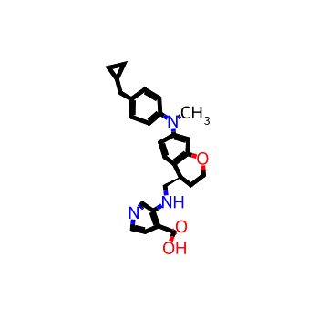 CN(c1ccc(CC2CC2)cc1)c1ccc2c(c1)OCC[C@H]2CNc1cnccc1C(=O)O